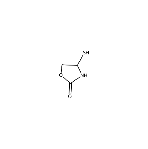 O=C1NC(S)CO1